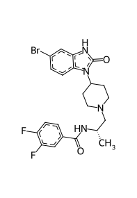 C[C@@H](CN1CCC(n2c(=O)[nH]c3cc(Br)ccc32)CC1)NC(=O)c1ccc(F)c(F)c1